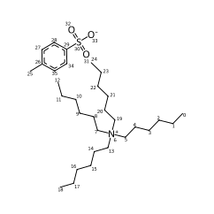 CCCCCC[N+](CCCCCC)(CCCCCC)CCCCCC.Cc1ccc(S(=O)(=O)[O-])cc1